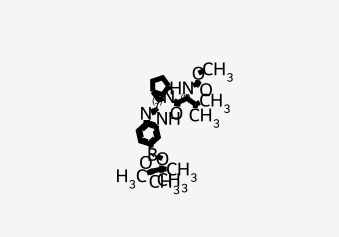 COC(=O)N[C@H](C(=O)N1C2CCC(C2)[C@H]1c1nc2ccc(B3OC(C)(C)C(C)(C)O3)cc2[nH]1)C(C)C